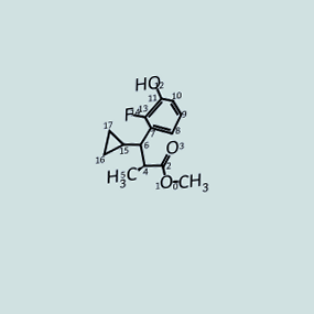 COC(=O)[C@@H](C)C(c1cccc(O)c1F)C1CC1